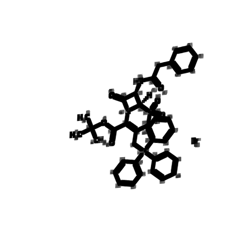 CC(C)(C)OC(=O)C1=C(C[P+](c2ccccc2)(c2ccccc2)c2ccccc2)CS(=O)(=O)[C@@H]2[C@H](NC(=O)Cc3ccccc3)C(=O)N12.[Br-]